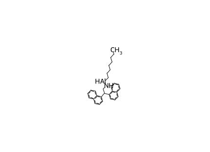 CCCCCCC[CH2][AlH][NH]CC(c1cccc2ccccc12)c1cccc2ccccc12